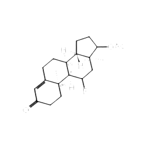 CC(=O)OC1CC[C@H]2[C@@H]3CCC4=CC(=O)CC[C@]4(C)[C@@H]3C(F)C[C@]12C